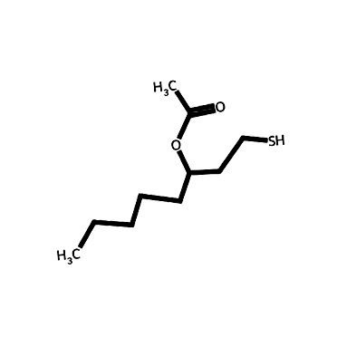 CCCCCC(CCS)OC(C)=O